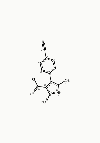 Cc1[nH]c(C)c(-c2ccc(C#N)cc2)c1C(=O)Cl